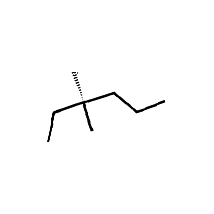 [CH2][C@](C)(CC)CCC